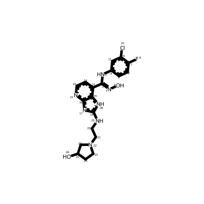 ON=C(Nc1ccc(F)c(Cl)c1)c1ccnc2nc(NCCN3CCC(O)C3)[nH]c12